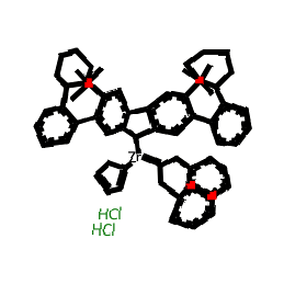 CC(C)(C)c1cc2c(cc1-c1ccccc1C1CCCCC1)[CH]([Zr]([C]1=CC=CC1)=[C](Cc1ccccc1)Cc1ccccc1)c1cc(-c3ccccc3C3CCCCC3)c(C(C)(C)C)cc1-2.Cl.Cl